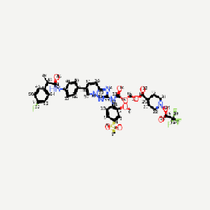 COc1cc(S(C)(=O)=O)ccc1N(C(=O)OCOC(=O)C1CCN(OC(=O)C(F)(F)F)CC1)c1nc2ccc(-c3ccc(NC(=O)[C@H](C)c4ccc(F)cc4)cc3)cn2n1